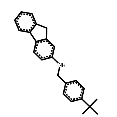 CC(C)(C)c1ccc(CNc2ccc3c(c2)Cc2ccccc2-3)cc1